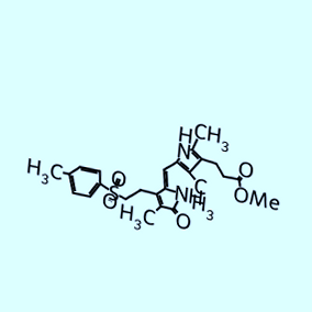 COC(=O)CCc1c(C)[nH]c(/C=C2\NC(=O)C(C)=C2CCS(=O)(=O)c2ccc(C)cc2)c1C